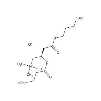 CCCCCCCCCCCCCOC(=O)C[C@H](C[N+](C)(C)C)OC(=O)CCCCCCCCCCCC.[Cl-]